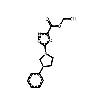 CCOC(=O)c1nnc(N2CCC(c3ccccc3)C2)o1